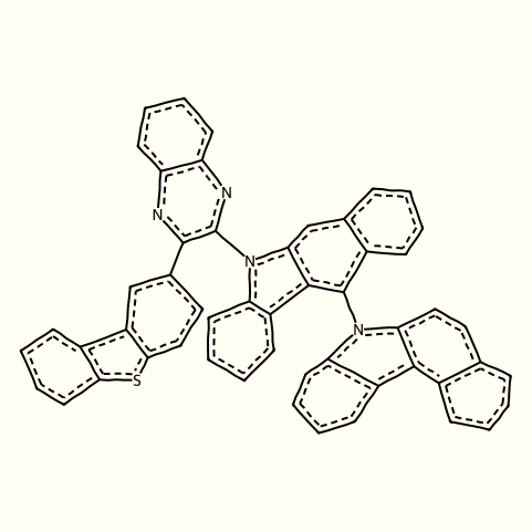 c1ccc2c(-n3c4ccccc4c4c5ccccc5ccc43)c3c4ccccc4n(-c4nc5ccccc5nc4-c4ccc5sc6ccccc6c5c4)c3cc2c1